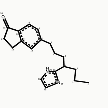 CCCC(CCCc1ccc2c(c1)CCC2=O)c1ncc[nH]1